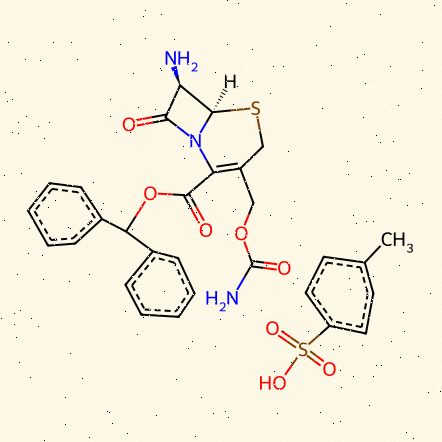 Cc1ccc(S(=O)(=O)O)cc1.NC(=O)OCC1=C(C(=O)OC(c2ccccc2)c2ccccc2)N2C(=O)[C@@H](N)[C@H]2SC1